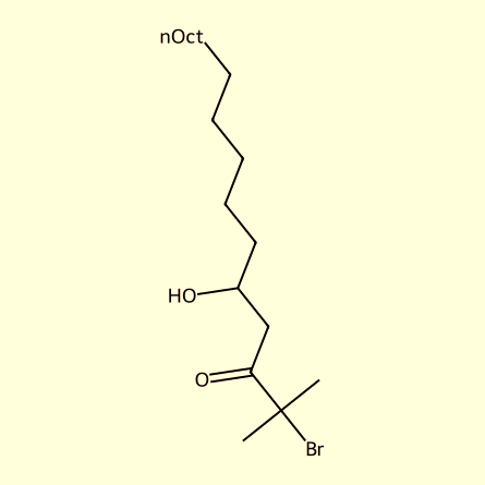 CCCCCCCCCCCCCC(O)CC(=O)C(C)(C)Br